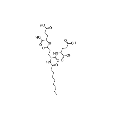 CCCCCCCCC(=O)NC(CCC(=O)NC(CCC(=O)O)C(=O)O)C(=O)NC(CCC(=O)O)C(=O)O